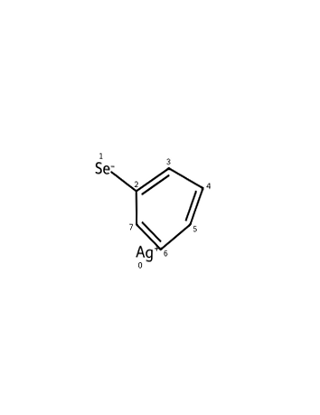 [Ag+].[Se-]c1ccccc1